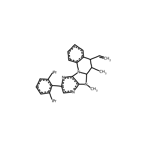 C=CC1c2ccccc2N2c3nc(-c4c(C(C)C)cccc4C(C)C)cnc3N(C)C2C1C